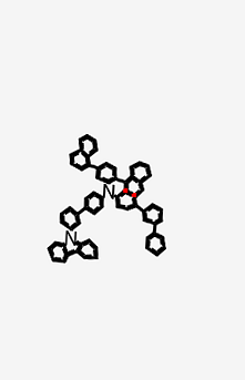 c1ccc(-c2cccc(-c3ccc(N(c4ccc(-c5cccc(-n6c7ccccc7c7ccccc76)c5)cc4)c4cc(-c5cccc6ccccc56)ccc4-c4cccc5ccccc45)cc3)c2)cc1